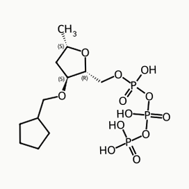 C[C@H]1C[C@H](OCC2CCCC2)[C@@H](COP(=O)(O)OP(=O)(O)OP(=O)(O)O)O1